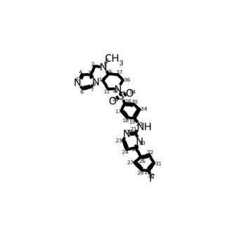 CN(Cc1cnccn1)C1CCN(S(=O)(=O)c2ccc(Nc3nccc(-c4ccc(F)cc4)n3)cc2)CC1